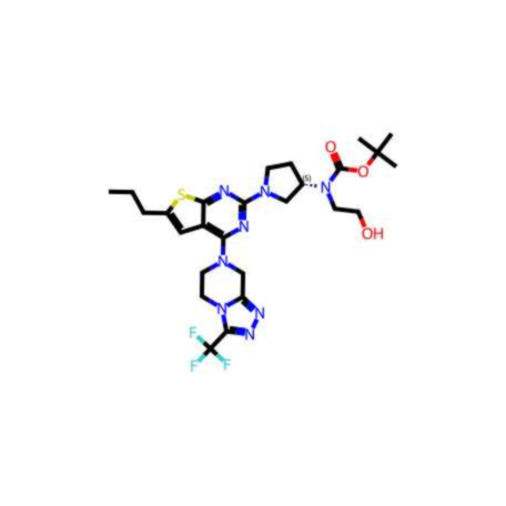 CCCc1cc2c(N3CCn4c(nnc4C(F)(F)F)C3)nc(N3CC[C@H](N(CCO)C(=O)OC(C)(C)C)C3)nc2s1